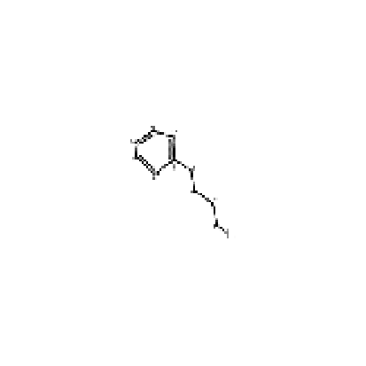 ICCCCc1[c]cccc1